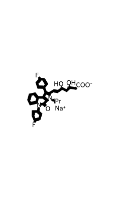 CC(C)n1c(C=C[C@H](O)C[C@@H](O)CC(=O)[O-])c(-c2ccc(F)cc2)c2c3ccccc3n(-c3ccc(F)cc3)c(=O)c21.[Na+]